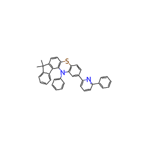 CC1(C)c2ccccc2-c2c1ccc1c2N(c2ccccc2)c2cc(-c3cccc(-c4ccccc4)n3)ccc2S1